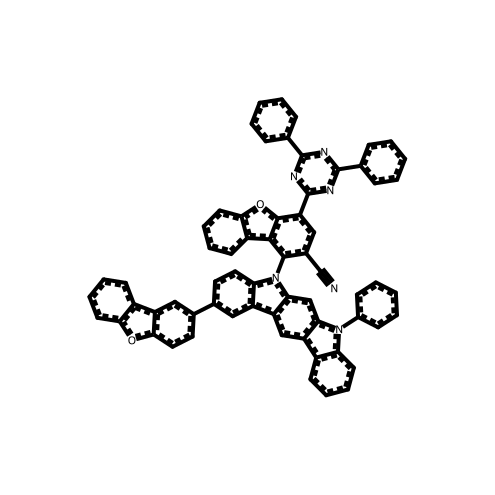 N#Cc1cc(-c2nc(-c3ccccc3)nc(-c3ccccc3)n2)c2oc3ccccc3c2c1-n1c2ccc(-c3ccc4oc5ccccc5c4c3)cc2c2cc3c4ccccc4n(-c4ccccc4)c3cc21